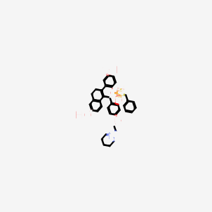 O=S(=O)(Cc1ccccc1)OC(C1=C(c2cccc(O)c2)CCc2cc(O)ccc21)c1ccc(OCCN2CCCCC2)cc1